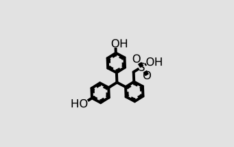 O=S(=O)(O)Cc1ccccc1C(c1ccc(O)cc1)c1ccc(O)cc1